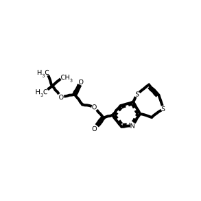 CC(C)(C)OC(=O)COC(=O)c1cnc2c(c1)SC=CSC2